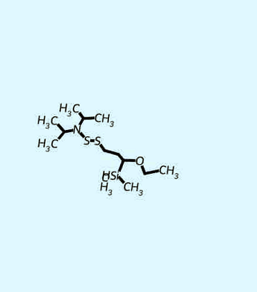 CCOC(CCSSN(C(C)C)C(C)C)[SiH](C)C